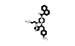 CCCC[C@H]1CN(C(=O)c2cccc3ccccc23)CCN1C(Cc1ccc(C)cc1)c1cnc[nH]1